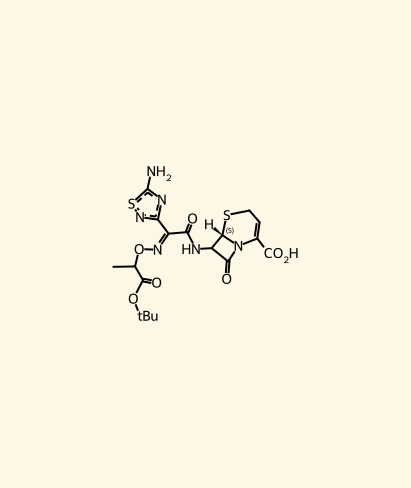 CC(ON=C(C(=O)NC1C(=O)N2C(C(=O)O)=CCS[C@@H]12)c1nsc(N)n1)C(=O)OC(C)(C)C